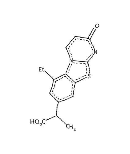 CCc1cc(C(C)C(=O)O)cc2sc3nc(=O)ccn3c12